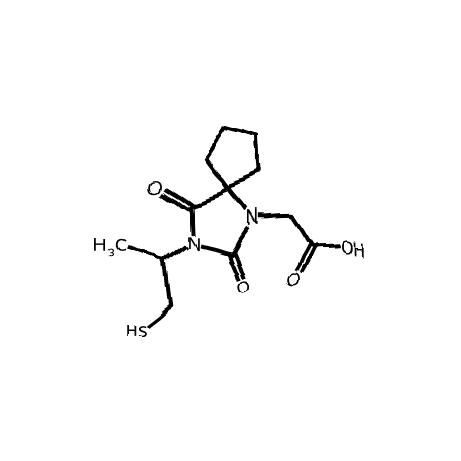 CC(CS)N1C(=O)N(CC(=O)O)C2(CCCC2)C1=O